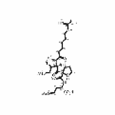 [2H]C(CSC)[C@@]([2H])(C(=O)[C@@]1(C(=O)N[C@@H](CCSC)C(=O)O)CCCN1)N([2H])C(=O)CCCCCNC(=N)N